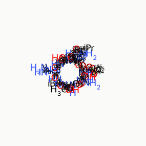 CC[C@H](C)[C@@H]1NC(=O)[C@@H](CCCNC(=N)N)NC(=O)[C@H](CC(C)C)NC(=O)[C@H]([C@H](O)C(C)C)NC(=O)[C@@H](NC(=O)[C@H](CC(C)C)NC(=O)[C@H](N)CC(C)C)[C@@H](c2ccccc2)OC(=O)[C@H](COC(=O)NS(=O)(=O)c2ccccc2)NC(=O)[C@H]([C@H](O)C(N)=O)NC(=O)CNC(=O)[C@H]([C@H](C)O)NC1=O